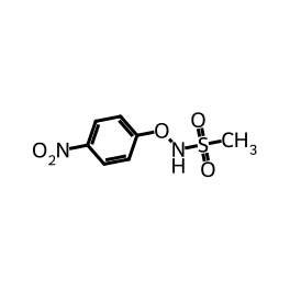 CS(=O)(=O)NOc1ccc([N+](=O)[O-])cc1